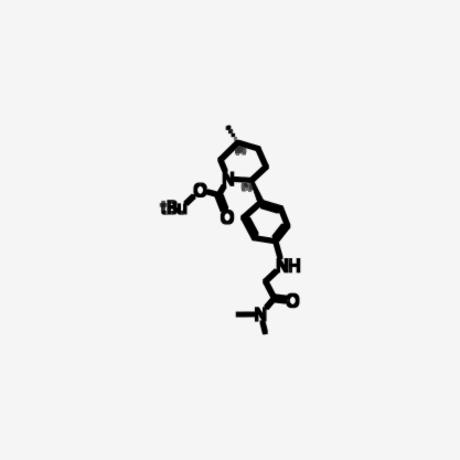 C[C@@H]1CC[C@@H](c2ccc(NCC(=O)N(C)C)cc2)N(C(=O)OC(C)(C)C)C1